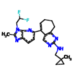 Cc1nc2ccc(C3=CCCCc4nc(NCC5(C)CC5)ncc43)nc2n1CC(F)F